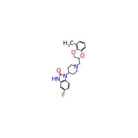 Cc1cccc2c1OCC(CN1CCC(n3c(=O)[nH]c4cc(F)ccc43)CC1)O2